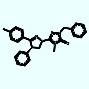 Cc1ccc(C2=NN(c3nn(Cc4ccccc4)c(=O)n3C)C[C@H]2c2ccccc2)cc1